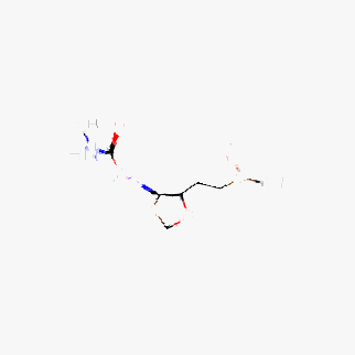 CNC(=O)ON=C1SCOC1CC[S+](C)[O-]